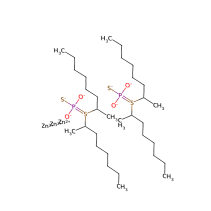 CCCCCCC(C)S(C(C)CCCCCC)=P([O-])([O-])[S-].CCCCCCC(C)S(C(C)CCCCCC)=P([O-])([O-])[S-].[Zn+2].[Zn+2].[Zn+2]